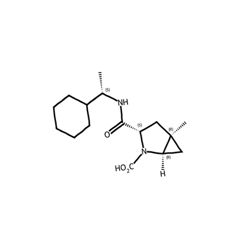 C[C@H](NC(=O)[C@@H]1C[C@@]2(C)C[C@H]2N1C(=O)O)C1CCCCC1